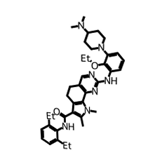 CCOc1c(Nc2ncc3c(n2)-c2c(c(C(=O)Nc4c(CC)cccc4CC)c(C)n2C)CC3)cccc1N1CCC(N(C)C)CC1